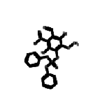 [2H]c1c(C=O)c([N+](=O)[O-])c([2H])c(OP(=O)(Oc2ccccc2)Oc2ccccc2)c1OC